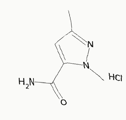 Cc1cc(C(N)=O)n(C)n1.Cl